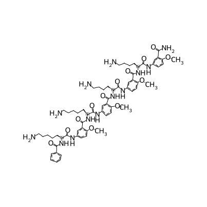 COc1ccc(NC(=O)[C@H](CCCCN)NC(=O)c2cc(NC(=O)[C@H](CCCCN)NC(=O)c3cc(NC(=O)[C@H](CCCCCN)NC(=O)c4cc(NC(=O)[C@H](CCCCCN)NC(=O)c5ccccc5)ccc4OC)ccc3OC)ccc2OC)cc1C(N)=O